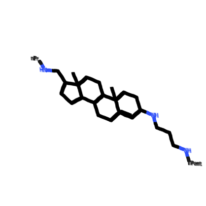 CCCCCNCCCNC1C=C2CCC3C(CCC4(C)C(CNCCC)CCC34)C2(C)CC1